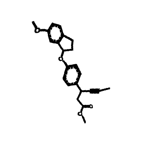 CC#CC(CC(=O)OC)c1ccc(OC2CCc3ccc(OC)cc32)cc1